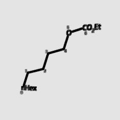 CCCCCCCCCCOC(=O)OCC